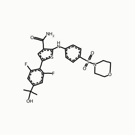 CC(C)(O)c1cc(F)c(-c2cc(C(N)=O)c(Nc3ccc(S(=O)(=O)N4CCOCC4)cc3)s2)c(F)c1